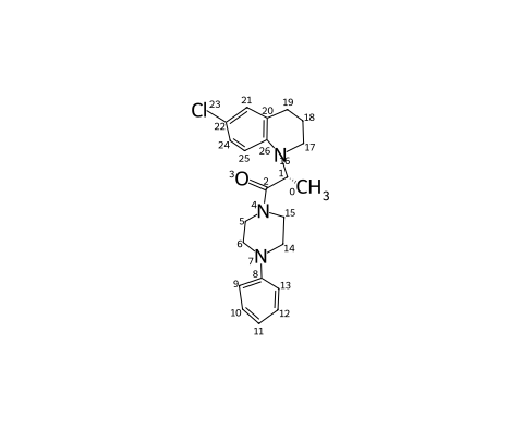 C[C@H](C(=O)N1CCN(c2ccccc2)CC1)N1CCCc2cc(Cl)ccc21